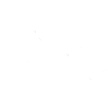 C=C/C(=C(\C=C/C)OCC1CCOCC1)c1cnn(-c2cc(NC(=O)c3ccnc(C(F)(F)F)c3)ccc2C)c1